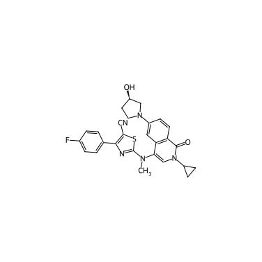 CN(c1nc(-c2ccc(F)cc2)c(C#N)s1)c1cn(C2CC2)c(=O)c2ccc(N3CC[C@@H](O)C3)cc12